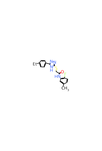 CCc1ccc(-c2nnc(SCC(=O)Nc3cc(C)ccc3F)[nH]2)cc1